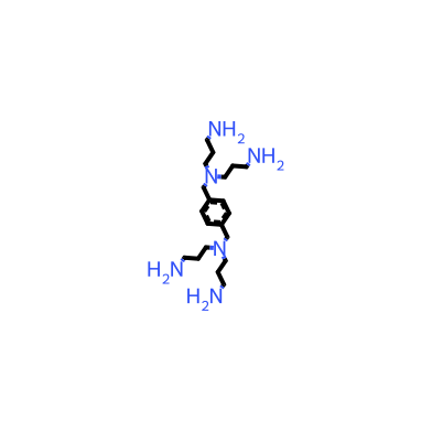 NCCCN(CCCN)Cc1ccc(CN(CCCN)CCCN)cc1